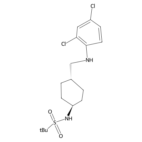 CC(C)(C)S(=O)(=O)N[C@H]1CC[C@H](CNc2ccc(Cl)cc2Cl)CC1